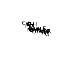 Cc1ncc(-c2c(C(C)F)ccc(Cl)c2F)nc1C(=O)Nc1cnn([C@@H](C)c2cnc(N3C[C@@H](C)[C@@H](C)C3=O)c(F)c2)c1